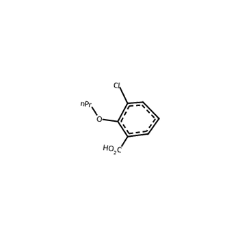 CCCOc1c(Cl)cccc1C(=O)O